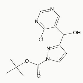 CC(C)(C)OC(=O)n1ccc(C(O)c2cncnc2Cl)n1